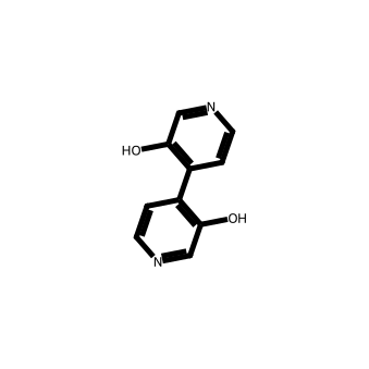 Oc1cnccc1-c1ccncc1O